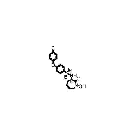 O=C1[C@H](NS(=O)(=O)c2ccc(Oc3ccc(Cl)cc3)cc2)CC=CCN1O